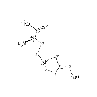 N[C@H](CCN1CC[C@@H](CO)C1)C(=O)O